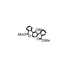 COC(=O)c1ccccc1-c1cccc(-c2ccccc2C(=O)OC)c1OC